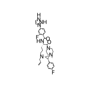 C=CCN(CCC[C@H](NC(=O)c1ccc(N2C=CNN2)cc1F)C(=O)N1CCN(C)CC1)[C@@H]1C[C@H]1c1ccc(F)cc1